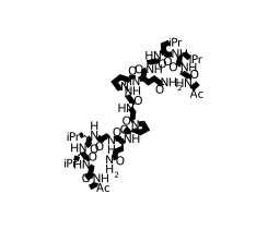 CC(=O)[C@H](C)NC(=O)CNC(=O)[C@H](CC(C)C)NC(=O)C(CC(C)C)NC(=O)CNC(=O)C(CCC(N)=O)NC(=O)[C@@H]1CCCN1NCC(=O)NCC(=O)N1CCC[C@H]1C(=O)N[C@@H](CCC(N)=O)C(=O)NCC(=O)N[C@@H](CC(C)C)C(=O)N[C@@H](CC(C)C)C(=O)NCC(=O)N[C@@H](C)C(C)=O